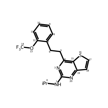 CC(C)Nc1nc(CCc2ccccc2OC(F)(F)F)c2sccc2n1